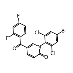 O=C(c1ccc(=O)n(-c2c(Cl)cc(Br)cc2Cl)c1)c1ccc(F)cc1F